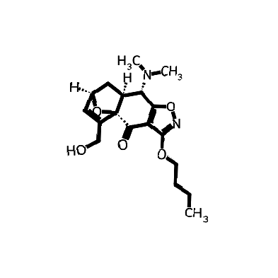 CCCCOc1noc2c1C(=O)[C@@]13O[C@@H](C=C1CO)C[C@H]3[C@@H]2N(C)C